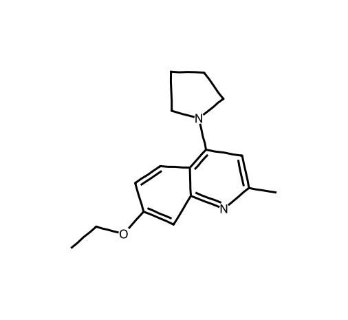 CCOc1ccc2c(N3CCCC3)cc(C)nc2c1